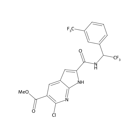 COC(=O)c1cc2cc(C(=O)NC(c3cccc(C(F)(F)F)c3)C(F)(F)F)[nH]c2nc1Cl